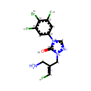 NC/C(=C\F)Cn1ncn(-c2cc(F)c(Br)c(F)c2)c1=O